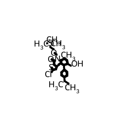 CC[C@H](C)c1ccc(-c2c(CO)cc(C)c3c2c2cc(Cl)sc2c(=O)n3COCC[Si](C)(C)C)cc1